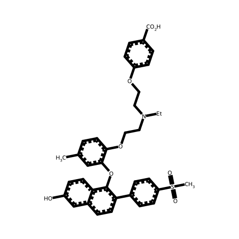 CCN(CCOc1ccc(C(=O)O)cc1)CCOc1ccc(C)cc1Oc1c(-c2ccc(S(C)(=O)=O)cc2)ccc2cc(O)ccc12